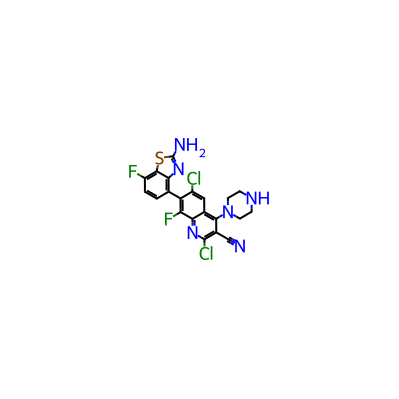 N#Cc1c(Cl)nc2c(F)c(-c3ccc(F)c4sc(N)nc34)c(Cl)cc2c1N1CCNCC1